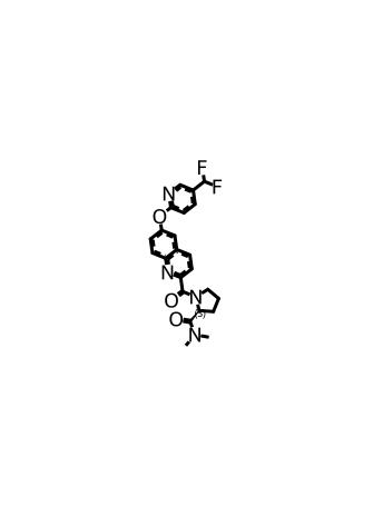 CN(C)C(=O)[C@@H]1CCCN1C(=O)c1ccc2cc(Oc3ccc(C(F)F)cn3)ccc2n1